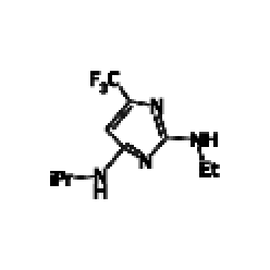 CCNc1nc(NC(C)C)cc(C(F)(F)F)n1